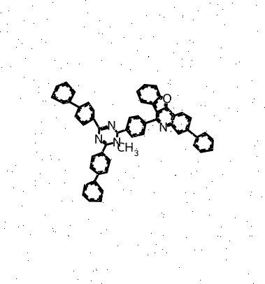 CN1C(c2ccc(-c3ccccc3)cc2)=NC(c2ccc(-c3ccccc3)cc2)=NC1c1ccc(-c2nc3cc(-c4ccccc4)ccc3c3oc4ccccc4c23)cc1